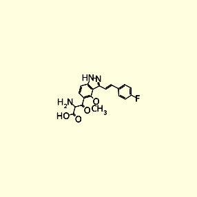 COc1c(C(=O)C(N)C(=O)O)ccc2[nH]nc(C=Cc3ccc(F)cc3)c12